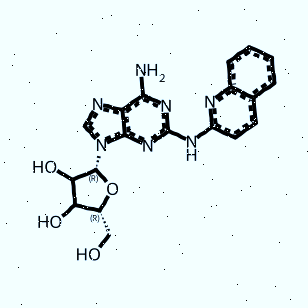 Nc1nc(Nc2ccc3ccccc3n2)nc2c1ncn2[C@@H]1O[C@H](CO)C(O)C1O